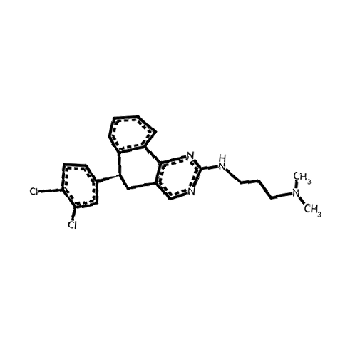 CN(C)CCCNc1ncc2c(n1)-c1ccccc1[C@H](c1ccc(Cl)c(Cl)c1)C2